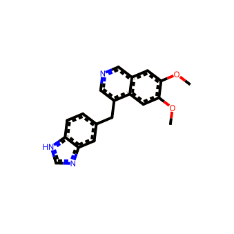 COc1cc2cncc(Cc3ccc4[nH]cnc4c3)c2cc1OC